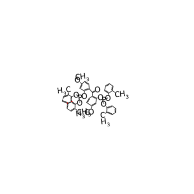 COc1ccc(C(=O)c2ccc(OC)cc2OP(Oc2ccccc2C)Oc2ccccc2C)c(OP(Oc2ccccc2C)Oc2ccccc2C)c1